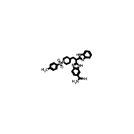 Cc1ccc(S(=O)(=O)N2CCC(CC(c3nc4ccccc4[nH]3)c3nc4ccc(C(=N)N)cc4[nH]3)CC2)cc1